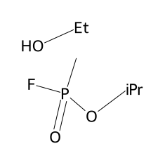 CC(C)OP(C)(=O)F.CCO